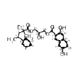 CCC(C)(CC(C)c1ccccc1)C(=O)OCC(O)COC(=O)c1cc2cc(O)ccc2cc1O